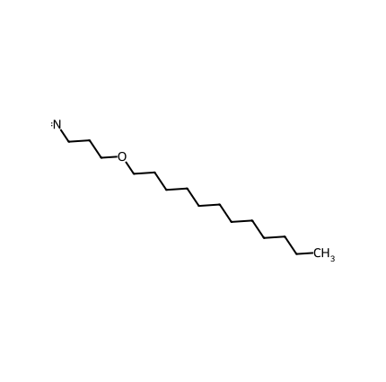 CCCCCCCCCCCCOCCC[N]